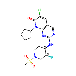 CS(=O)(=O)N1CC[C@@H](Nc2ncc3cc(Cl)c(=O)n(C4CCCC4)c3n2)[C@@H](F)C1